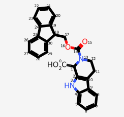 O=C(O)C1c2[nH]c3ccccc3c2CCN1C(=O)OCC1c2ccccc2-c2ccccc21